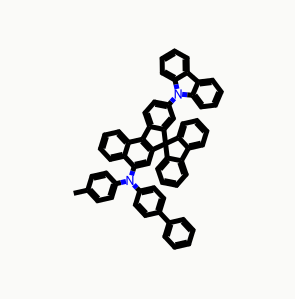 Cc1ccc(N(c2ccc(-c3ccccc3)cc2)c2cc3c(c4ccccc24)-c2ccc(-n4c5ccccc5c5ccccc54)cc2C32c3ccccc3-c3ccccc32)cc1